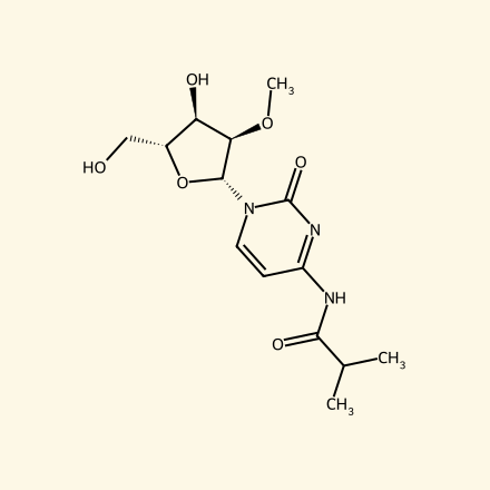 CO[C@@H]1[C@H](O)[C@@H](CO)O[C@H]1n1ccc(NC(=O)C(C)C)nc1=O